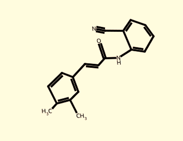 Cc1ccc(/C=C/C(=O)Nc2ccccc2C#N)cc1C